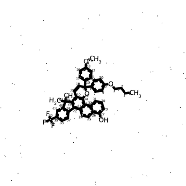 CCCCOc1ccc(C2(c3ccc(OC)cc3)C=Cc3c4c(c5ccc6c(O)cccc6c5c3O2)-c2ccc(C(F)(F)F)cc2C4(C)C)cc1